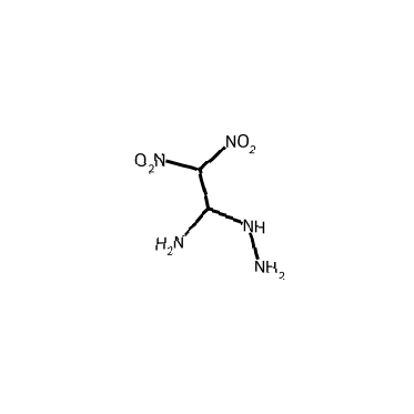 NNC(N)C([N+](=O)[O-])[N+](=O)[O-]